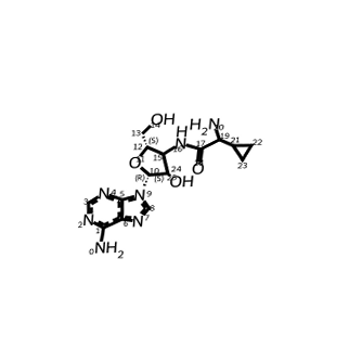 Nc1ncnc2c1ncn2[C@@H]1O[C@H](CO)C(NC(=O)C(N)C2CC2)[C@@H]1O